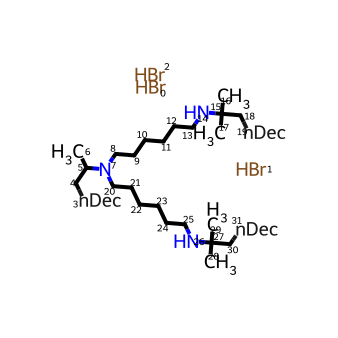 Br.Br.Br.CCCCCCCCCCCC(C)N(CCCCCCNC(C)(C)CCCCCCCCCCC)CCCCCCNC(C)(C)CCCCCCCCCCC